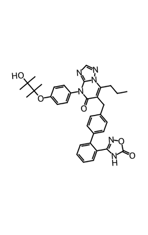 CCCc1c(Cc2ccc(-c3ccccc3-c3noc(=O)[nH]3)cc2)c(=O)n(-c2ccc(OC(C)(C)C(C)(C)O)cc2)c2ncnn12